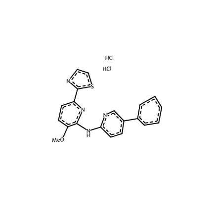 COc1ccc(-c2nccs2)nc1Nc1ccc(-c2ccccc2)cn1.Cl.Cl